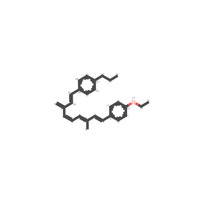 C=C(\C=C/C=C(C)/C=C/c1ccc(OCC)cc1)/C=C/c1ccc(CCC)cc1